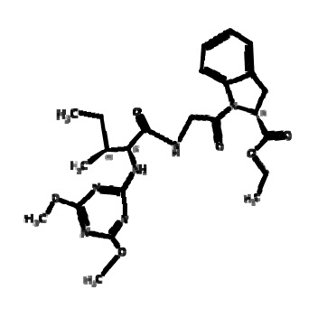 CCOC(=O)[C@@H]1Cc2ccccc2N1C(=O)CNC(=O)[C@@H](Nc1nc(OC)nc(OC)n1)[C@@H](C)CC